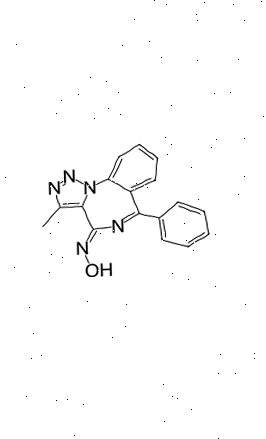 Cc1nnn2c1c(=NO)nc(-c1ccccc1)c1ccccc12